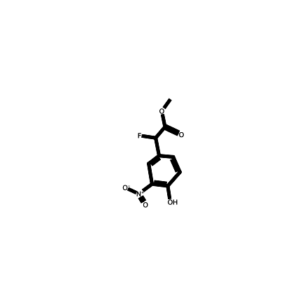 COC(=O)C(F)c1ccc(O)c([N+](=O)[O-])c1